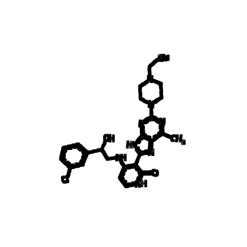 CCC(C)CN1CCN(c2nc(C)c3nc(-c4c(NC[C@H](O)c5cccc(Cl)c5)cc[nH]c4=O)[nH]c3n2)CC1